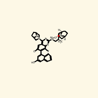 CO[C@@H]1C[C@H]2CC[C@@H](C1)N2C[C@@H](C)COc1nc(N2CC3CCC(C2)N3)c2cc(Cl)c(-c3cc(O)cc4ccccc34)c(F)c2n1